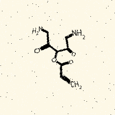 C=CC(=O)OC(C(=O)CN)C(=O)CN